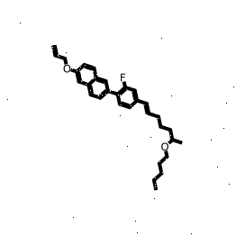 C=CCOc1ccc2cc(-c3ccc(/C=C/CCCC(C)OCCCCC)cc3F)ccc2c1